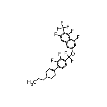 CCCC1CC=C(c2ccc(C(F)(F)Oc3cc(F)c4c(F)c(C(F)(F)F)c(F)cc4c3)c(F)c2F)CC1